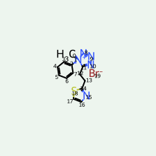 C[N+]1(c2ccccc2)N=NN=C1CCc1nccs1.[Br-]